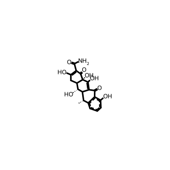 C[C@H]1c2cccc(O)c2C(=O)C2=C(O)[C@]3(O)C(=O)C(C(N)=O)=C(O)CC3[C@@H](O)C21